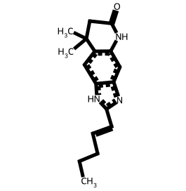 CCCC=Cc1nc2cc3c(cc2[nH]1)C(C)(C)CC(=O)N3